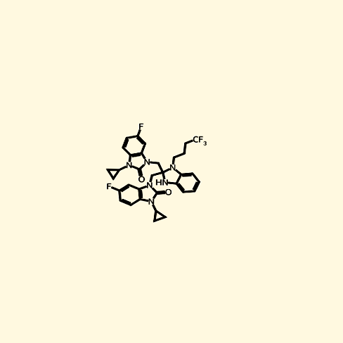 O=c1n(CC2(Cn3c(=O)n(C4CC4)c4ccc(F)cc43)Nc3ccccc3N2CCCC(F)(F)F)c2cc(F)ccc2n1C1CC1